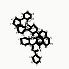 c1ccc(-c2cc(-c3ccccc3-n3c4ccccc4c4ccc5c(c6ccccc6n5-c5ccccc5-c5ccccc5)c43)cc(-c3cccc4ccccc34)n2)cc1